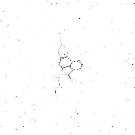 CCCC(C)N1C(=N)c2cccc3c4c(cc1c23)CC(C)O4